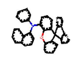 c1ccc(N(c2cccc3c2Oc2ccccc2C32c3ccccc3-c3ccccc32)c2cccc3ccccc23)cc1